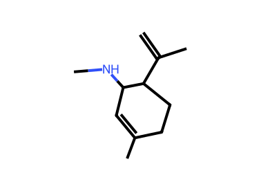 C=C(C)C1CCC(C)=CC1NC